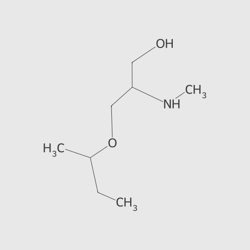 CCC(C)OCC(CO)NC